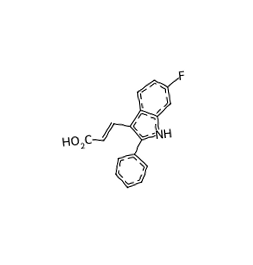 O=C(O)C=Cc1c(-c2ccccc2)[nH]c2cc(F)ccc12